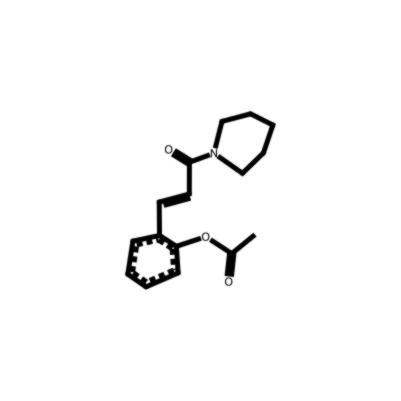 CC(=O)Oc1ccccc1/C=C/C(=O)N1CCCCC1